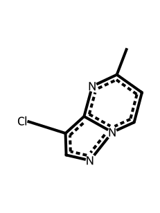 Cc1ccn2ncc(Cl)c2n1